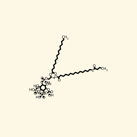 CCCCCCCCCCCCCCCC(=O)O[C@H](COC(=O)CCCCCCCCCCCCCSC(=O)CCC)COP(=O)(O)OC1C(O)[C@@H](OP(=O)(O)O)C(OP(=O)(O)O)[C@@H](OP(=O)(O)O)[C@H]1O